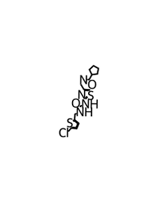 CN(Cc1csc(NC(=O)NCc2ccc(Cl)s2)n1)C(=O)C1CCCC1